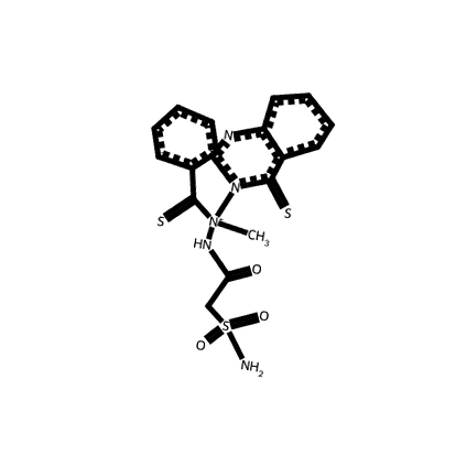 C[N+](NC(=O)CS(N)(=O)=O)(C(=S)c1ccccc1)n1cnc2ccccc2c1=S